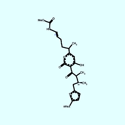 CCCCCCc1ccc(C[C@H](C)C(C)C(=O)c2c(O)cc(C(C)CC/C=C/NC(=O)OC)oc2=O)s1